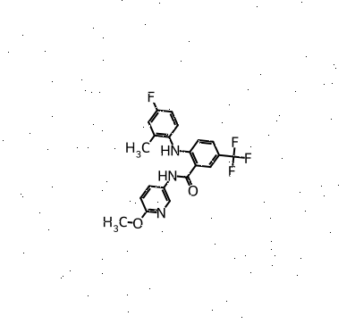 COc1ccc(NC(=O)c2cc(C(F)(F)F)ccc2Nc2ccc(F)cc2C)cn1